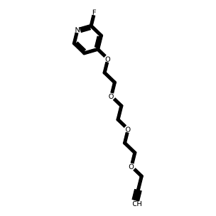 C#CCOCCOCCOCCOc1ccnc(F)c1